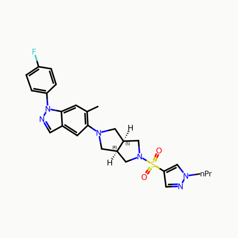 CCCn1cc(S(=O)(=O)N2C[C@H]3CN(c4cc5cnn(-c6ccc(F)cc6)c5cc4C)C[C@H]3C2)cn1